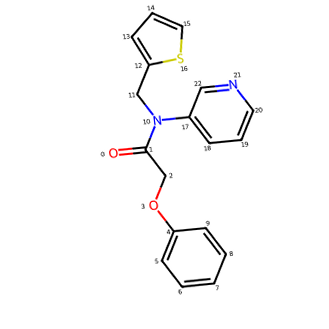 O=C(COc1ccccc1)N(Cc1cccs1)c1cccnc1